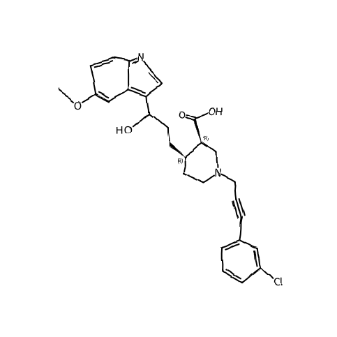 COc1ccc2nccc(C(O)CC[C@@H]3CCN(CC#Cc4cccc(Cl)c4)C[C@@H]3C(=O)O)c2c1